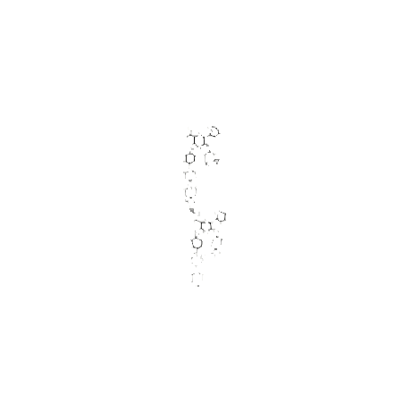 CN1CCN(C2CCN(c3ccc(Nc4nc(NC5CCC6(CC5)COC6)c(-c5ccccn5)nc4C(=O)NCN4CC5(CCN(C6CCN(c7ccc(Nc8nc(NC9CCOC%10(CC%10)C9)c(-c9ccccn9)nc8C(N)=O)cc7)CC6)CC5)C4)cc3)CC2)CC1